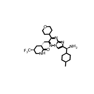 CC1CCC([C@H](N)c2cn3nc(C[C@H]4C[C@H](C(F)(F)F)CNC4=O)c(C4CCOCC4)nc3n2)CC1